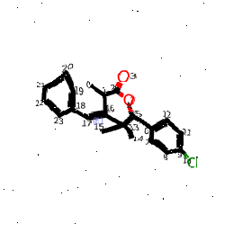 CC1C(=O)OC(c2ccc(Cl)cc2)C(C)(C)/C1=C/c1ccccc1